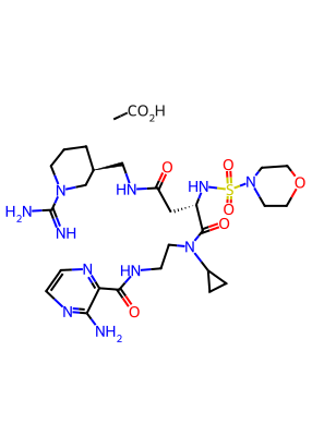 CC(=O)O.N=C(N)N1CCC[C@@H](CNC(=O)C[C@H](NS(=O)(=O)N2CCOCC2)C(=O)N(CCNC(=O)c2nccnc2N)C2CC2)C1